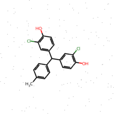 Cc1ccc([C](c2ccc(O)c(Cl)c2)c2ccc(O)c(Cl)c2)cc1